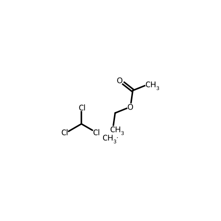 CCOC(C)=O.ClC(Cl)Cl.[CH3]